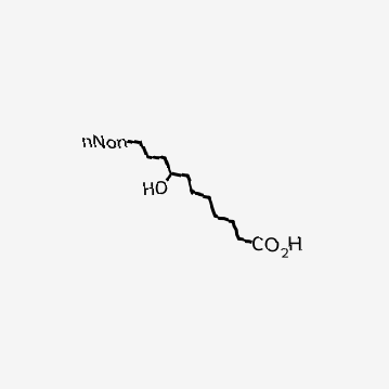 CCCCCCCCCCCCC(O)CCCCCCC(=O)O